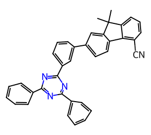 CC1(C)c2cc(-c3cccc(-c4nc(-c5ccccc5)nc(-c5ccccc5)n4)c3)ccc2-c2c(C#N)cccc21